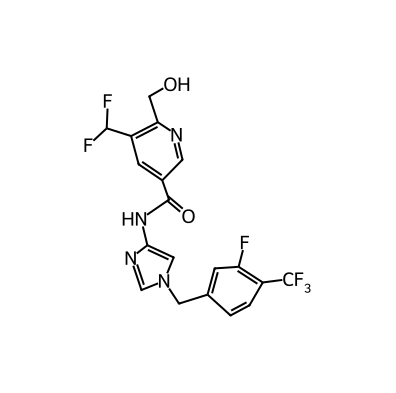 O=C(Nc1cn(Cc2ccc(C(F)(F)F)c(F)c2)cn1)c1cnc(CO)c(C(F)F)c1